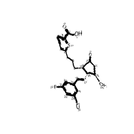 O=C(O)c1ccc(CCC[C@H]2C(=O)C[C@@H](O)[C@@H]2/C=C/c2cc(F)cc(Cl)c2)s1